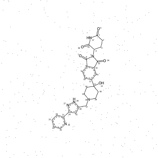 O=C1CCC(N2C(=O)c3ccc(C4(O)CCN(Cc5cc(-c6ccccn6)n[nH]5)CC4)cc3C2=O)C(=O)N1